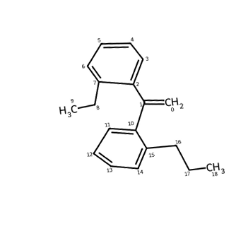 C=C(c1ccccc1CC)c1ccccc1CCC